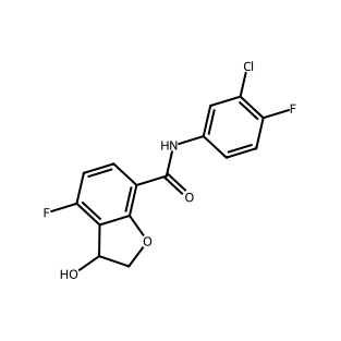 O=C(Nc1ccc(F)c(Cl)c1)c1ccc(F)c2c1OCC2O